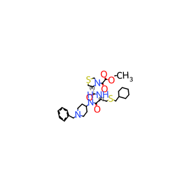 CCOC(=O)C(=O)N1CSC[C@H]1C(=O)N[C@@H](CSCC1CCCCC1)C(=O)NC1CCN(Cc2ccccc2)CC1